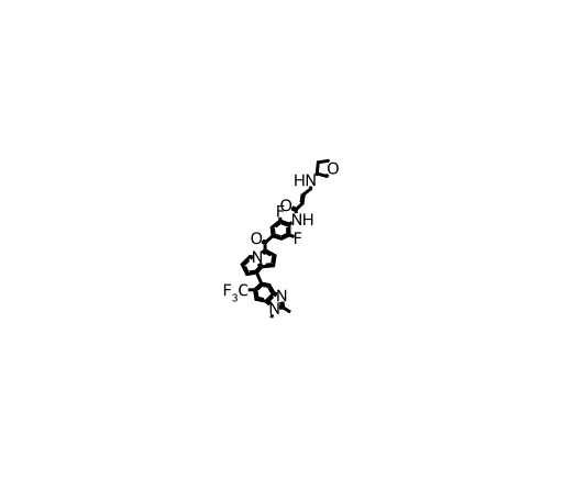 Cc1nc2cc(-c3cccn4c(C(=O)c5cc(F)c(NC(=O)/C=C/CNC6CCOC6)c(F)c5)ccc34)c(C(F)(F)F)cc2n1C